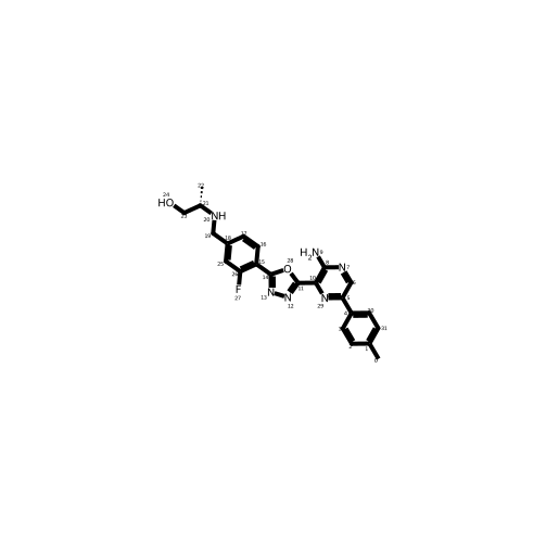 Cc1ccc(-c2cnc(N)c(-c3nnc(-c4ccc(CN[C@@H](C)CO)cc4F)o3)n2)cc1